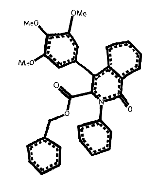 COc1cc(-c2c(C(=O)OCc3ccccc3)n(-c3ccccc3)c(=O)c3ccccc23)cc(OC)c1OC